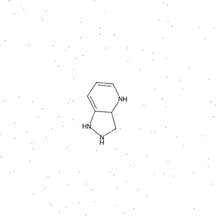 C1=CNC2CNNC2=C1